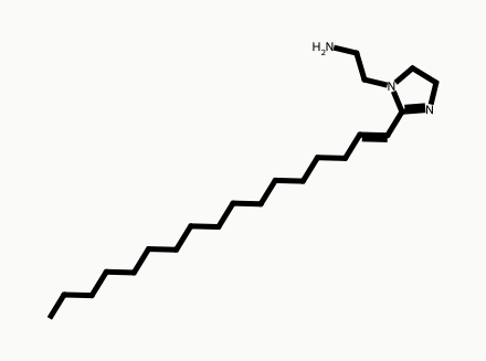 CCCCCCCCCCCCCCCC=CC1=NCCN1CCN